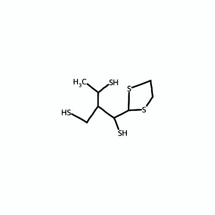 CC(S)C(CS)C(S)C1SCCS1